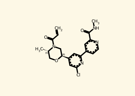 C=CC(=O)N1C[C@@H](c2cc(Cl)nc(-c3ccnc(C(=O)NC)c3)c2)OC[C@@H]1C